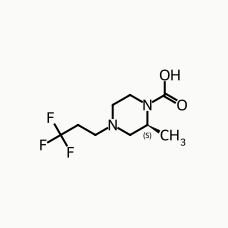 C[C@H]1CN(CCC(F)(F)F)CCN1C(=O)O